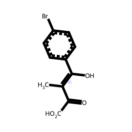 C/C(C(=O)C(=O)O)=C(/O)c1ccc(Br)cc1